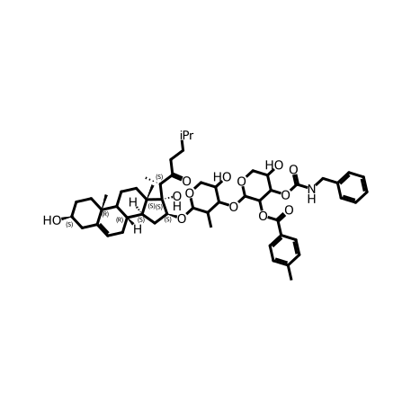 Cc1ccc(C(=O)OC2C(OC3C(O)COC(O[C@H]4C[C@H]5[C@@H]6CC=C7C[C@@H](O)CC[C@]7(C)C6CC[C@]5(C)[C@@]4(O)[C@H](C)C(=O)CCC(C)C)C3C)OCC(O)C2OC(=O)NCc2ccccc2)cc1